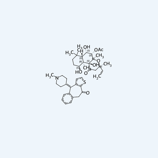 C=C[C@@]1(C)CC(=O)[C@]2(O)[C@@]3(C)[C@@H](O)CCC(C)(C)[C@@H]3[C@H](O)[C@H](OC(C)=O)[C@@]2(C)O1.CN1CCC(=C2c3ccccc3CC(=O)c3sccc32)CC1